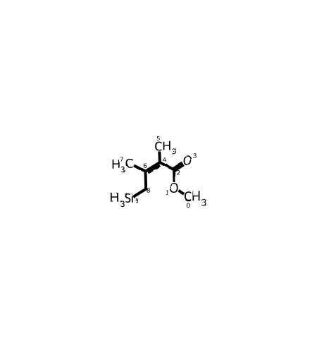 COC(=O)C(C)=C(C)C[SiH3]